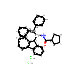 O=C([NH][Ti+2]([CH]1c2ccccc2-c2ccccc21)[SiH](c1ccccc1)c1ccccc1)C1CCCC1.[Cl-].[Cl-]